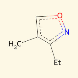 CCc1nocc1C